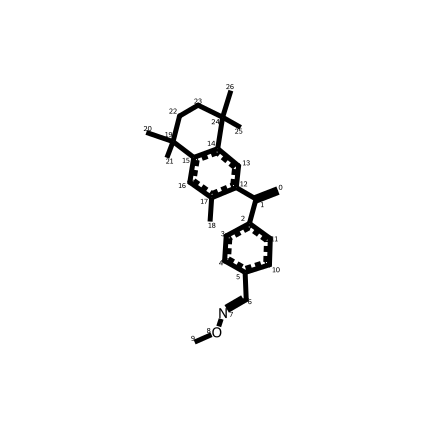 C=C(c1ccc(C=NOC)cc1)c1cc2c(cc1C)C(C)(C)CCC2(C)C